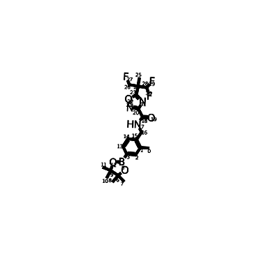 Cc1cc(B2OC(C)(C)C(C)(C)O2)ccc1CNC(=O)c1noc(C(C)(CF)C(F)F)n1